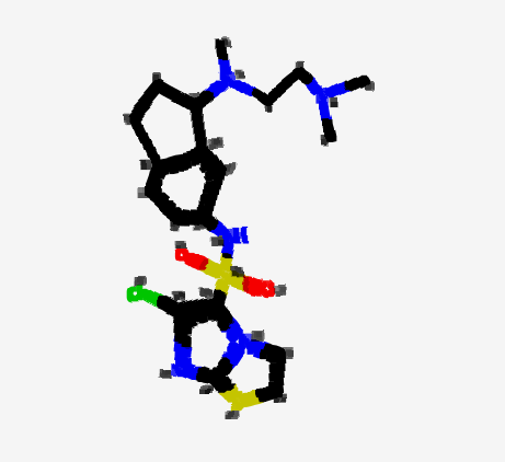 CN(C)CCN(C)C1CCc2ccc(NS(=O)(=O)c3c(Cl)nc4sccn34)cc21